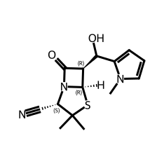 Cn1cccc1C(O)[C@@H]1C(=O)N2[C@@H]1SC(C)(C)[C@@H]2C#N